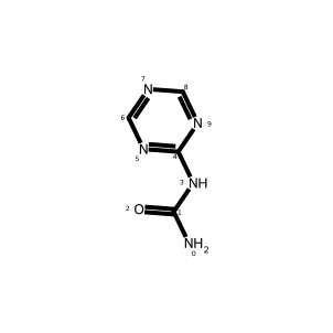 NC(=O)Nc1ncncn1